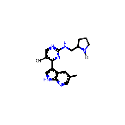 [C-]#[N+]c1cnc(NCC2CCCN2CC)nc1-c1c[nH]c2ncc(C)cc12